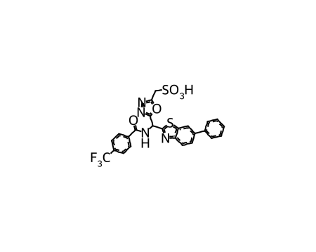 O=C(NC(c1nnc(CS(=O)(=O)O)o1)c1nc2ccc(-c3ccccc3)cc2s1)c1ccc(C(F)(F)F)cc1